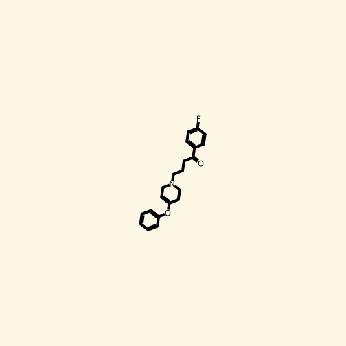 O=C(CCCN1CC=C(Oc2ccccc2)CC1)c1ccc(F)cc1